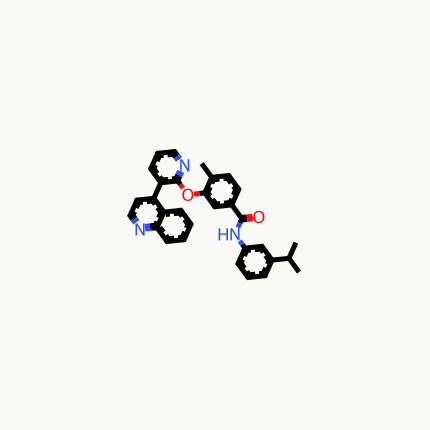 Cc1ccc(C(=O)Nc2cccc(C(C)C)c2)cc1Oc1ncccc1-c1ccnc2ccccc12